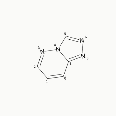 [c]1ccnn2cnnc12